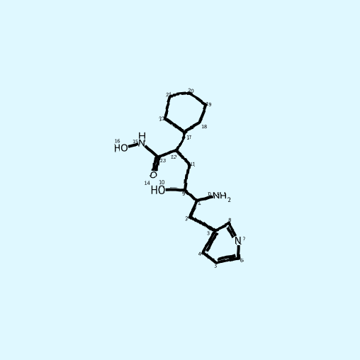 NC(Cc1cccnc1)C(O)CC(C(=O)NO)C1CCCCC1